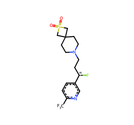 O=S1(=O)CC2(CCN(CC[C@@H](F)c3ccc(C(F)(F)F)nc3)CC2)C1